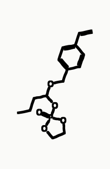 C=Cc1ccc(COC(CCC)OP2(=O)OCCO2)cc1